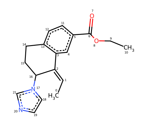 C/C=C1/c2cc(C(=O)OCC)ccc2CCC1n1ccnc1